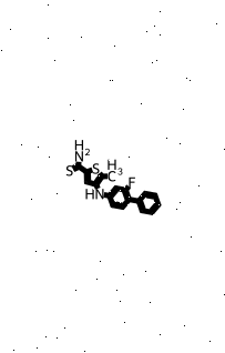 Cc1sc(C(N)=S)cc1Nc1ccc(-c2ccccc2)c(F)c1